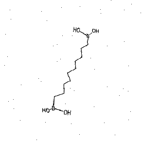 OB(O)CCCCCCCCCCB(O)O